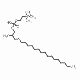 CCCCCCCCCCCCCCCCSCC(C)COP(=O)(O)OCC[N+](C)(C)C